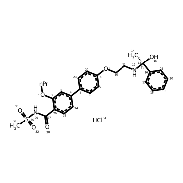 CCCOc1cc(-c2ccc(OCCN[C@@](C)(O)c3ccccc3)cc2)ccc1C(=O)NS(C)(=O)=O.Cl